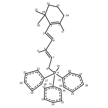 CC1=C(/C=C/C(C)=C/CP(C)(c2ccccc2)(c2ccccc2)c2ccccc2)C(C)(C)CCC1